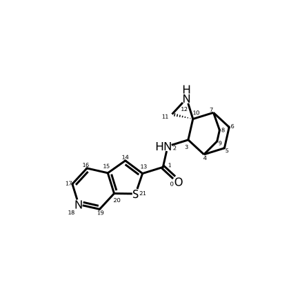 O=C(NC1C2CCC(CC2)[C@@]12CN2)c1cc2ccncc2s1